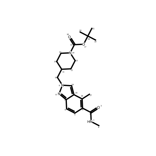 CNC(=O)c1ccc2nn(CC3CCN(C(=O)OC(C)(C)C)CC3)cc2c1C